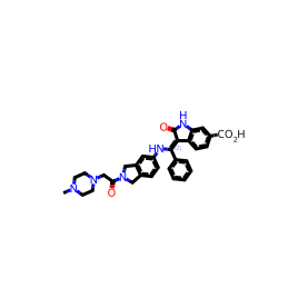 CN1CCN(CC(=O)N2Cc3ccc(N/C(=C4\C(=O)Nc5cc(C(=O)O)ccc54)c4ccccc4)cc3C2)CC1